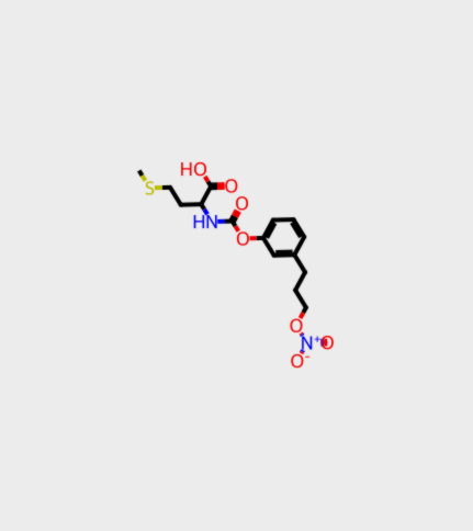 CSCCC(NC(=O)Oc1cccc(CCCO[N+](=O)[O-])c1)C(=O)O